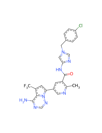 Cc1ncc(-c2cc(C(F)(F)F)c3c(N)ncnn23)cc1C(=O)Nc1cn(Cc2ccc(Cl)cc2)cn1